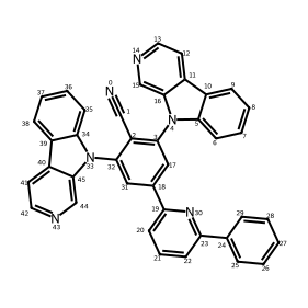 N#Cc1c(-n2c3ccccc3c3ccncc32)cc(-c2cccc(-c3ccccc3)n2)cc1-n1c2ccccc2c2ccncc21